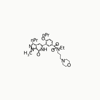 CCCOc1ccc(S(=O)(=O)N(CC)CCCN2CCOCC2)cc1-c1cc2c(CCC)nn(C)c2c(=O)[nH]1